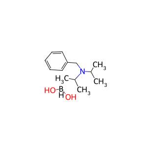 CC(C)N(Cc1ccccc1)C(C)C.OBO